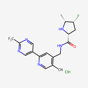 C[C@H]1N[C@@H](C(=O)NCc2cc(-c3cnc(C(F)(F)F)nc3)ncc2C#N)C[C@H]1F.Cl